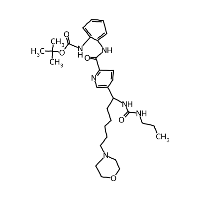 CCCNC(=O)NC(CCCCCN1CCOCC1)c1ccc(C(=O)Nc2ccccc2NC(=O)OC(C)(C)C)nc1